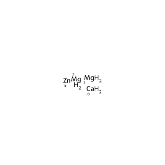 [CaH2].[MgH2].[MgH2].[Zn]